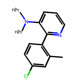 CCCN(CCC)c1cccnc1-c1ccc(Cl)cc1C